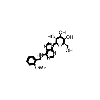 COc1ccccc1CNc1ncnc2c1ncn2C1O[C@H](CO)[C@@H](O)[C@H](O)[C@H]1O